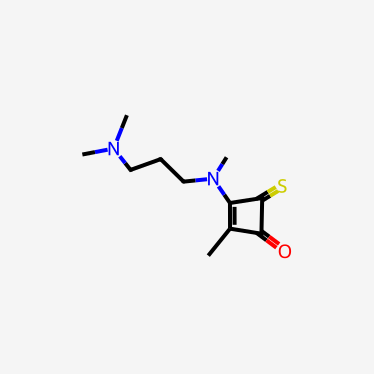 Cc1c(N(C)CCCN(C)C)c(=S)c1=O